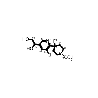 O=C(O)N1CCC(F)(c2ncc(C(O)CO)cc2Cl)CC1